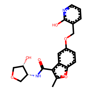 Cc1oc2ccc(OCc3cccnc3O)cc2c1C(=O)N[C@@H]1COC[C@@H]1O